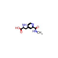 CNC(=O)c1cc(C[C@H](N)C(=O)O)ccn1